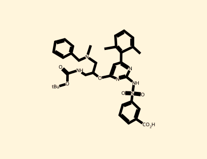 Cc1cccc(C)c1-c1cc(OC(CNC(=O)OC(C)(C)C)CN(C)Cc2ccccc2)nc(NS(=O)(=O)c2cccc(C(=O)O)c2)n1